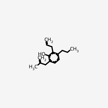 C=CCc1c(CCC)ccc(CC(=C)C)c1O